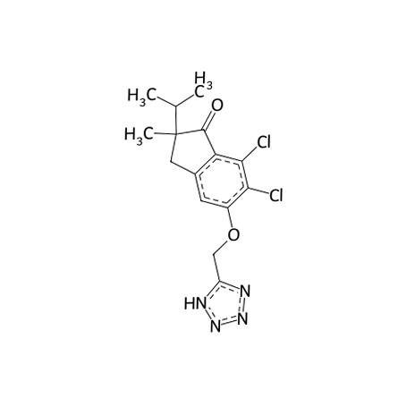 CC(C)C1(C)Cc2cc(OCc3nnn[nH]3)c(Cl)c(Cl)c2C1=O